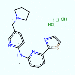 Cl.Cl.Cl.c1cc(Nc2ccc(CN3CCCC3)cn2)nc(-c2nccs2)c1